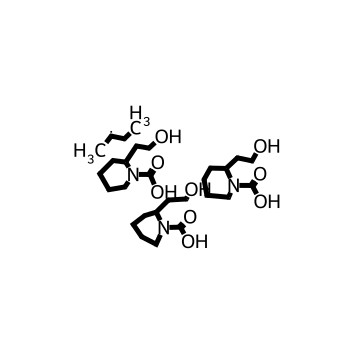 C[CH]CC.O=C(O)N1CCCCC1CCO.O=C(O)N1CCCCC1CCO.O=C(O)N1CCCCC1CCO